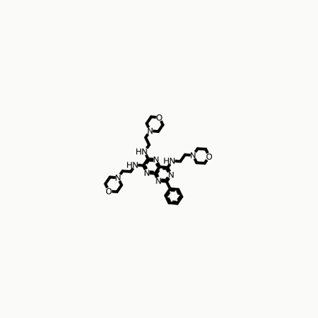 c1ccc(-c2nc(NCCN3CCOCC3)c3nc(NCCN4CCOCC4)c(NCCN4CCOCC4)nc3n2)cc1